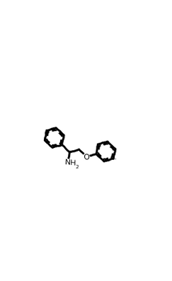 NC(COc1c[c]ccc1)c1ccccc1